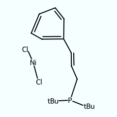 CC(C)(C)P(CC=Cc1ccccc1)C(C)(C)C.[Cl][Ni][Cl]